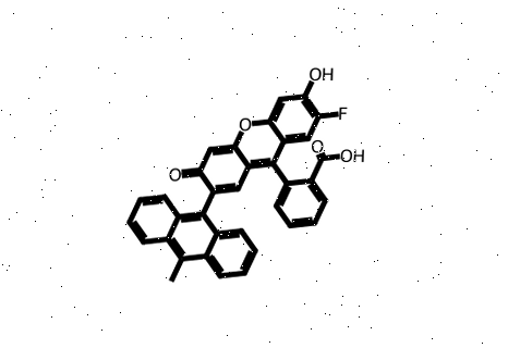 Cc1c2ccccc2c(-c2cc3c(-c4ccccc4C(=O)O)c4cc(F)c(O)cc4oc-3cc2=O)c2ccccc12